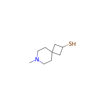 CN1CCC2(CC1)CC(S)C2